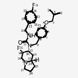 CC(C)COc1ccc(CN(C(=O)NCc2ccc(F)cc2)[C@@H]2C[C@@H]3CCCN3C[C@H]2F)cc1